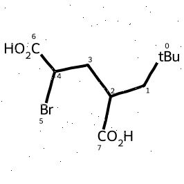 CC(C)(C)CC(CC(Br)C(=O)O)C(=O)O